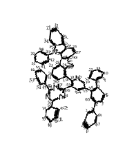 c1ccc(-c2ccc(-c3ccccc3)c(-c3cnc(-c4cccc5c4sc4ccc6c7ccccc7n(-c7ccccc7)c6c45)c(-c4nc(-c5ccccc5)nc(-c5ccccc5)n4)c3)c2)cc1